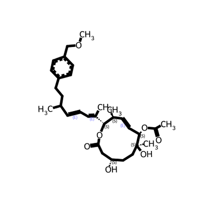 COCc1ccc(CCC(C)/C=C/C=C(\C)[C@H]2OC(=O)C[C@@H](O)CC[C@](C)(O)[C@@H](OC(C)=O)/C=C/[C@@H]2C)cc1